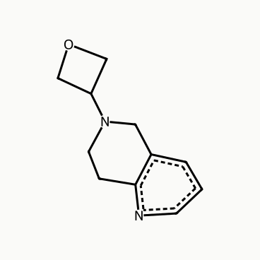 c1cnc2c(c1)CN(C1COC1)CC2